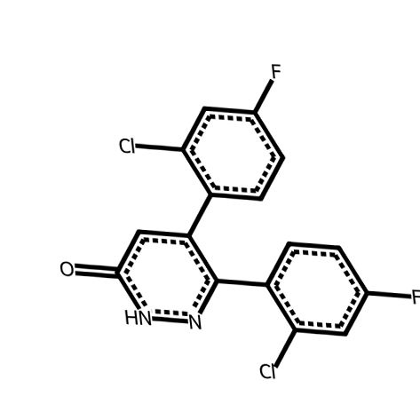 O=c1cc(-c2ccc(F)cc2Cl)c(-c2ccc(F)cc2Cl)n[nH]1